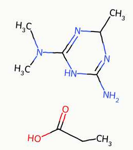 CC1N=C(N)NC(N(C)C)=N1.CCC(=O)O